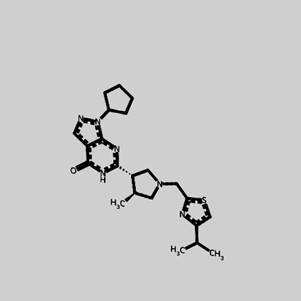 CC(C)c1csc(CN2C[C@@H](C)[C@H](c3nc4c(cnn4C4CCCC4)c(=O)[nH]3)C2)n1